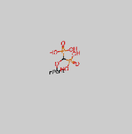 CCCCCOC(P(=O)(O)O)P(=O)(O)O